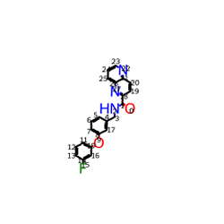 O=C(NCc1cccc(Oc2cccc(F)c2)c1)c1ccc2ncccc2n1